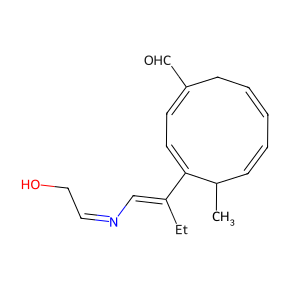 CCC(=C\N=C/CO)/C1=C/C=C(/C=O)C/C=C\C=C/C1C